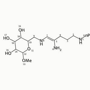 CCCNCCC/C(N)=C/NCC1OC(OC)C(O)C(O)C1O